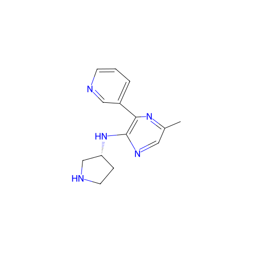 Cc1cnc(N[C@@H]2CCNC2)c(-c2cccnc2)n1